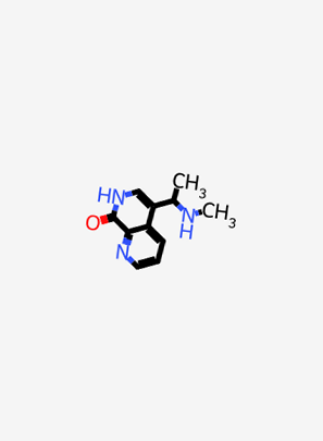 CNC(C)c1c[nH]c(=O)c2ncccc12